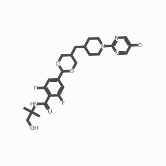 CC(C)(CO)NC(=O)c1c(F)cc(C2OCC(CC3CCN(c4ncc(Cl)cn4)CC3)CO2)cc1F